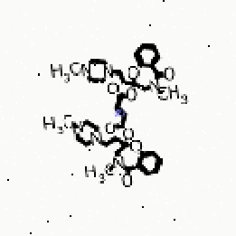 CN1CCN(CCC2(OC(=O)/C=C/C(=O)OC3(CCN4CCN(C)CC4)CN(C)C(=O)c4ccccc4O3)CN(C)C(=O)c3ccccc3O2)CC1